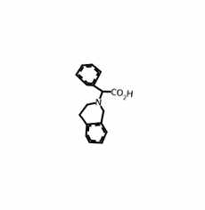 O=C(O)C(c1ccccc1)N1CCc2ccccc2C1